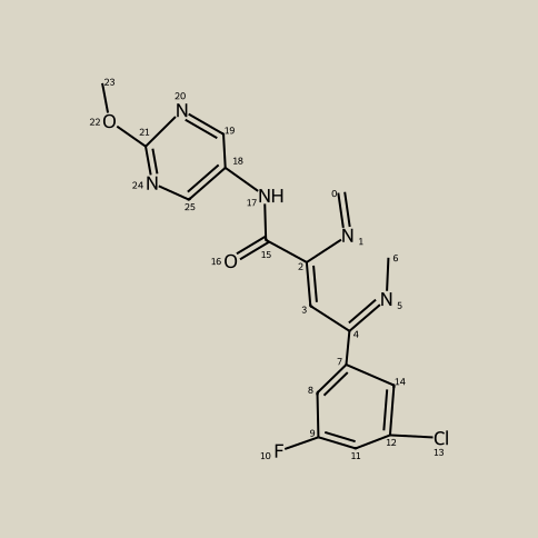 C=N/C(=C\C(=N/C)c1cc(F)cc(Cl)c1)C(=O)Nc1cnc(OC)nc1